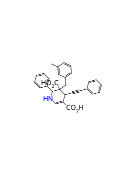 Cc1cccc(CC2(C(=O)O)C(C#Cc3ccccc3)C(C(=O)O)=CNC2c2ccccc2)c1